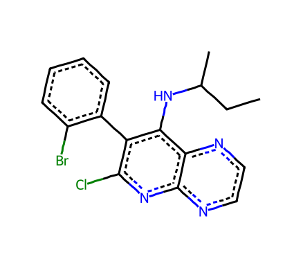 CCC(C)Nc1c(-c2ccccc2Br)c(Cl)nc2nccnc12